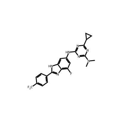 CN(C)c1nc(Nc2cc(F)c3nc(-c4ccc(C(F)(F)F)cc4)[nH]c3c2)nc(C2CC2)n1